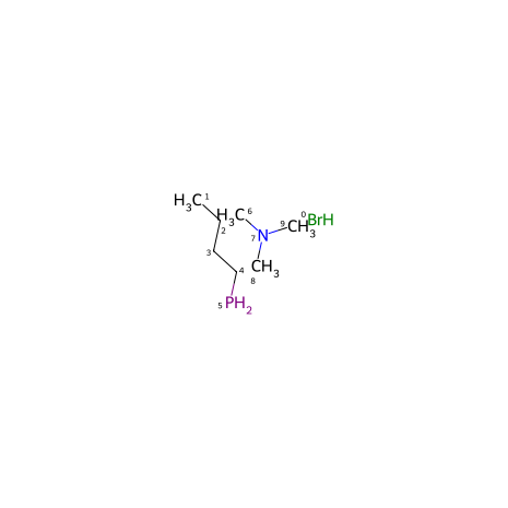 Br.CCCCP.CN(C)C